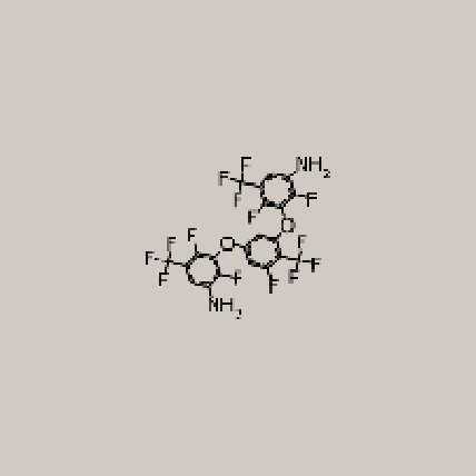 Nc1cc(C(F)(F)F)c(F)c(Oc2cc(F)c(C(F)(F)F)c(Oc3c(F)c(N)cc(C(F)(F)F)c3F)c2)c1F